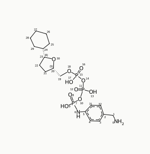 NCc1ccc(NP(=O)(O)OP(=O)(O)OP(=O)(O)OC[C@@H]2CC[C@H](C3CCCCC3)O2)cc1